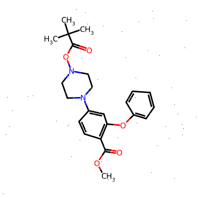 COC(=O)c1ccc(N2CCN(OC(=O)C(C)(C)C)CC2)cc1Oc1ccccc1